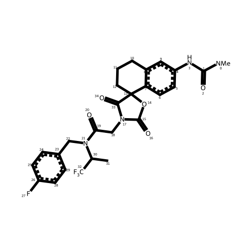 CNC(=O)Nc1ccc2c(c1)CCCC21OC(=O)N(CC(=O)N(Cc2ccc(F)cc2)C(C)C(F)(F)F)C1=O